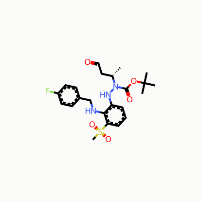 C[C@@H](CC=O)N(Nc1cccc(S(C)(=O)=O)c1NCc1ccc(F)cc1)C(=O)OC(C)(C)C